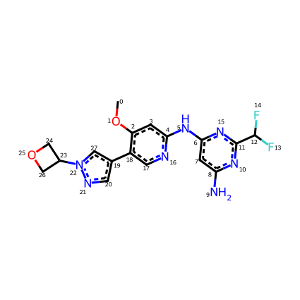 COc1cc(Nc2cc(N)nc(C(F)F)n2)ncc1-c1cnn(C2COC2)c1